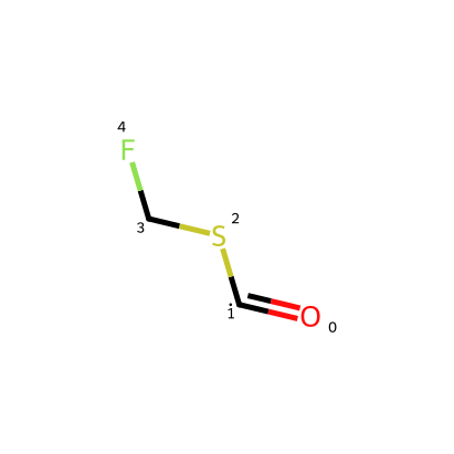 O=[C]SCF